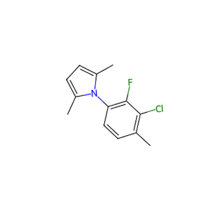 Cc1ccc(-n2c(C)ccc2C)c(F)c1Cl